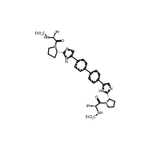 CCOC(=O)N[C@H](C(=O)N1CCC[C@H]1c1ncc(-c2ccc(-c3ccc(-c4cnc([C@@H]5CCCN5C(=O)[C@@H](NC(=O)OCC)C(C)C)[nH]4)cc3)cc2)[nH]1)C(C)C